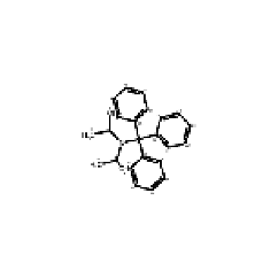 CC(O)N(C(C)O)C(c1ccccc1)(c1ccccc1)c1ccccc1